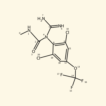 CNC(=O)N(C(=N)N)c1c(Cl)cc(OC(F)(F)F)cc1Cl